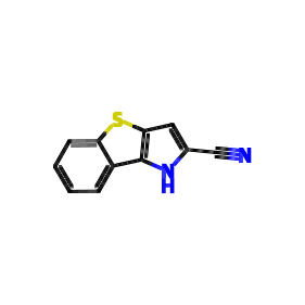 N#Cc1cc2sc3ccccc3c2[nH]1